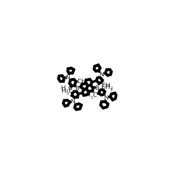 Cc1cc(N(c2ccccc2)c2ccccc2)cc(C)c1B1c2c(C)cc(N(c3ccccc3)c3ccccc3)cc2-c2ccc3cc4c5c(ccc6cc1c2c3c65)-c1cc(N(c2ccccc2)c2ccccc2)cc(C)c1B4c1c(C)cc(N(c2ccccc2)c2ccccc2)cc1C